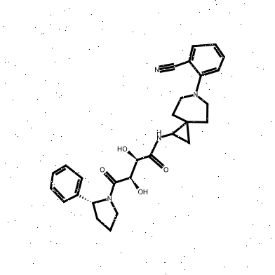 N#Cc1ccccc1N1CCC2(CC1)CC2NC(=O)[C@H](O)[C@@H](O)C(=O)N1CCC[C@@H]1c1ccccc1